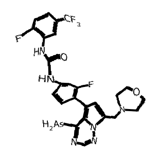 O=C(Nc1ccc(-c2cc(CN3CCOCC3)n3ncnc([AsH2])c23)c(F)c1)Nc1cc(C(F)(F)F)ccc1F